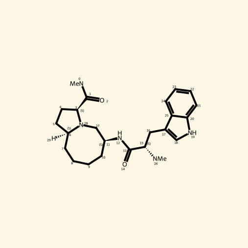 CNC(=O)[C@@H]1CC[C@@H]2CCCC[C@H](NC(=O)[C@H](Cc3c[nH]c4ccccc34)NC)CN21